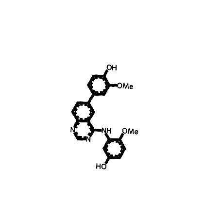 COc1cc(-c2ccc3ncnc(Nc4cc(O)ccc4OC)c3c2)ccc1O